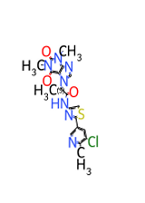 Cc1ncc(-c2nc(NC(=O)[C@H](C)n3cnc4c3c(=O)n(C)c(=O)n4C)cs2)cc1Cl